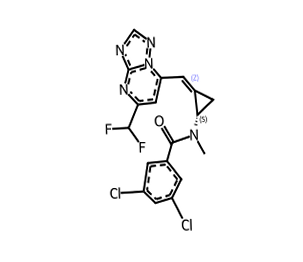 CN(C(=O)c1cc(Cl)cc(Cl)c1)[C@H]1C/C1=C/c1cc(C(F)F)nc2ncnn12